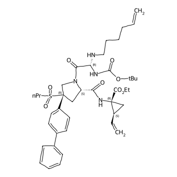 C=CCCCCN[C@H](NC(=O)OC(C)(C)C)C(=O)N1C[C@@](c2ccc(-c3ccccc3)cc2)(S(=O)(=O)CCC)C[C@H]1C(=O)N[C@]1(C(=O)OCC)C[C@H]1C=C